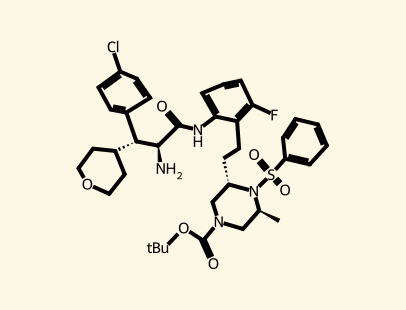 C[C@H]1CN(C(=O)OC(C)(C)C)C[C@H](CCc2c(F)cccc2NC(=O)[C@@H](N)[C@@H](c2ccc(Cl)cc2)C2CCOCC2)N1S(=O)(=O)c1ccccc1